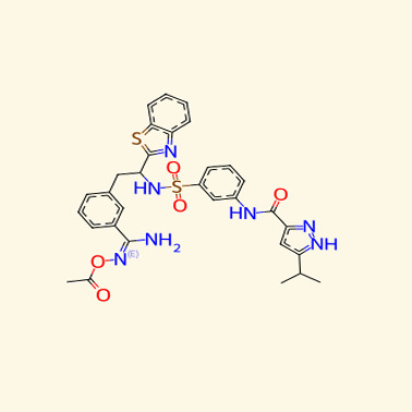 CC(=O)O/N=C(/N)c1cccc(CC(NS(=O)(=O)c2cccc(NC(=O)c3cc(C(C)C)[nH]n3)c2)c2nc3ccccc3s2)c1